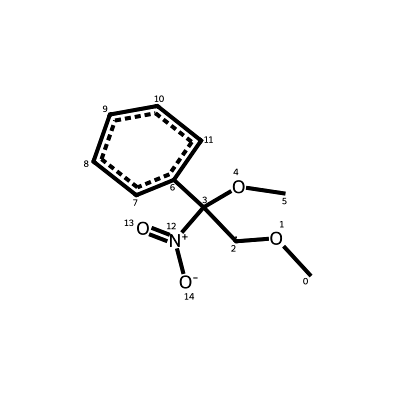 CO[CH]C(OC)(c1ccccc1)[N+](=O)[O-]